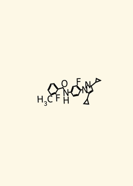 Cc1cccc(C(=O)Nc2ccc(-n3nc(C4CC4)cc3C3CC3)c(F)c2)c1F